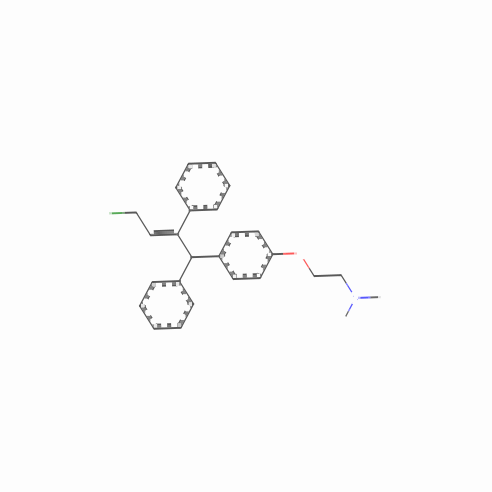 CCN(CC)CCOc1ccc(C(C(=CCCl)c2ccccc2)c2ccccc2)cc1